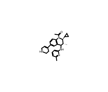 CC(=O)N1c2ccc(C3=CCNCC3)cc2C(Nc2cccc(C)n2)[C@@H](C)[C@@H]1C1CC1